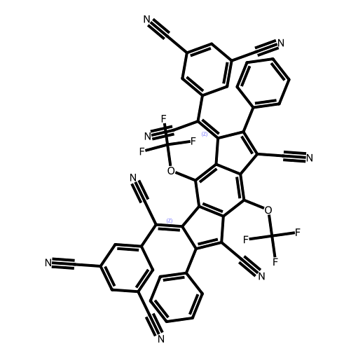 N#CC1=C(c2ccccc2)/C(=C(/C#N)c2cc(C#N)cc(C#N)c2)c2c(OC(F)(F)F)c3c(c(OC(F)(F)F)c21)C(C#N)=C(c1ccccc1)/C3=C(/C#N)c1cc(C#N)cc(C#N)c1